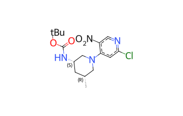 C[C@@H]1C[C@H](NC(=O)OC(C)(C)C)CN(c2cc(Cl)ncc2[N+](=O)[O-])C1